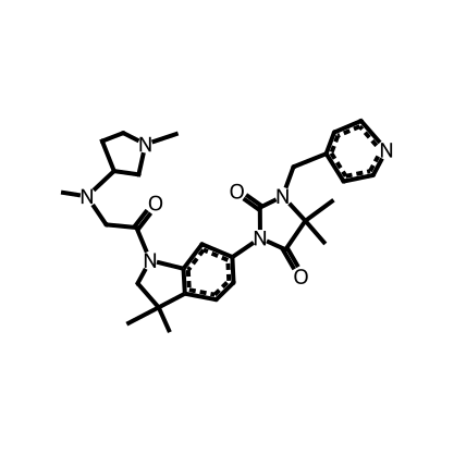 CN1CCC(N(C)CC(=O)N2CC(C)(C)c3ccc(N4C(=O)N(Cc5ccncc5)C(C)(C)C4=O)cc32)C1